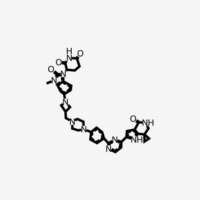 Cn1c(=O)n(C2CCC(=O)NC2=O)c2ccc(N3CC(CN4CCN(c5ccc(-c6nccc(-c7cc8c([nH]7)C7(CC7)CNC8=O)n6)cc5)CC4)C3)cc21